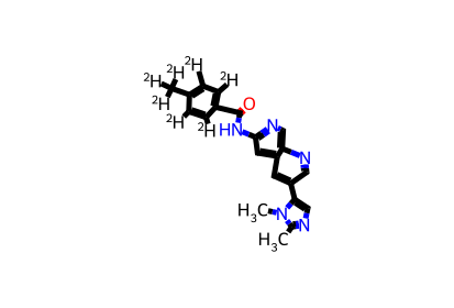 [2H]c1c([2H])c(C([2H])([2H])[2H])c([2H])c([2H])c1C(=O)Nc1cc2cc(-c3cnc(C)n3C)cnc2cn1